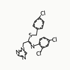 Clc1ccc(CSC(Cn2cncn2)=Nc2ccc(Cl)cc2Cl)cc1